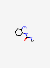 CCCNC(=O)NC1CCCCC1N